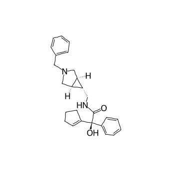 O=C(NC[C@@H]1[C@H]2CN(Cc3ccccc3)C[C@@H]12)[C@@](O)(C1=CCCC1)c1ccccc1